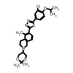 Cc1c(-c2nnc(-c3ccc(OC(C)C)c(Cl)c3)s2)ccc2c1CCN(C1COC(C)(C)OC1)C2